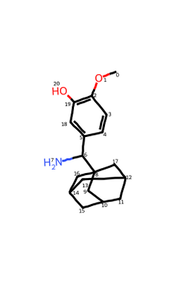 COc1ccc(C(N)C23CC4CC(CC(C4)C2)C3)cc1O